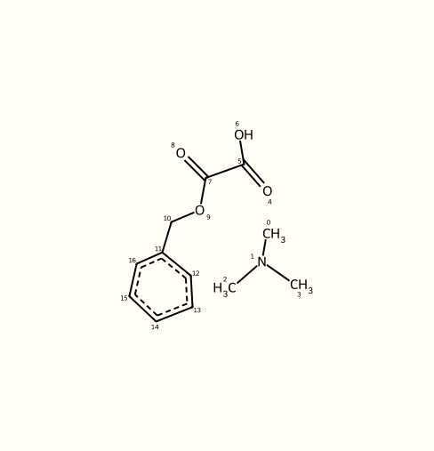 CN(C)C.O=C(O)C(=O)OCc1ccccc1